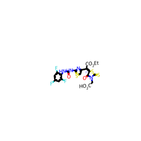 CCOC(=O)/C(=C1\SC(=S)N(CC(=O)O)C1=O)c1csc(NC(=O)Nc2c(F)cc(F)cc2F)n1